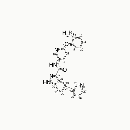 O=C(Nc1ccc(Oc2ccccc2P)nc1)c1n[nH]c2ccc(-c3cccnc3)cc12